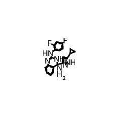 NC1(c2cc(C3CC3)[nH]n2)NC(Nc2ccc(F)cc2F)=Nc2ccccc21